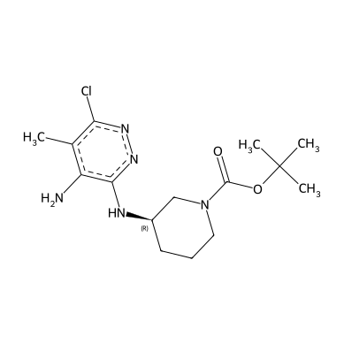 Cc1c(Cl)nnc(N[C@@H]2CCCN(C(=O)OC(C)(C)C)C2)c1N